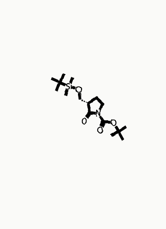 CC(C)(C)OC(=O)N1CC[C@@H](CO[Si](C)(C)C(C)(C)C)C1=O